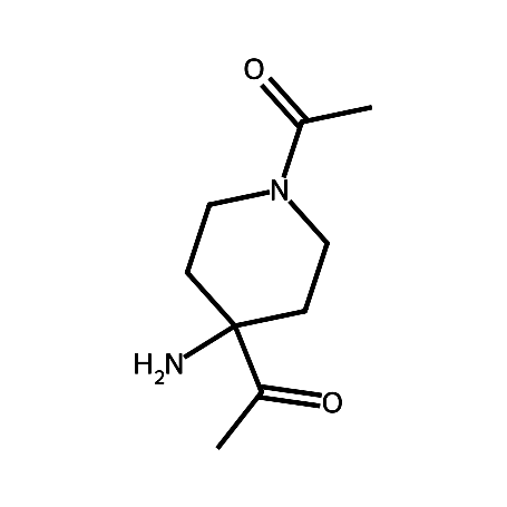 CC(=O)N1CCC(N)(C(C)=O)CC1